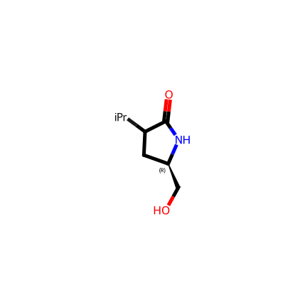 CC(C)C1C[C@H](CO)NC1=O